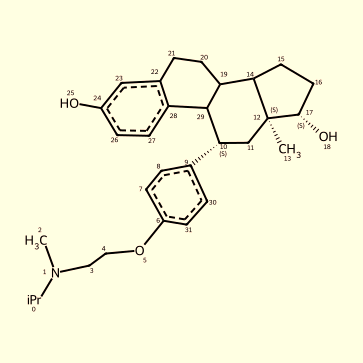 CC(C)N(C)CCOc1ccc([C@H]2C[C@@]3(C)C(CC[C@@H]3O)C3CCc4cc(O)ccc4C32)cc1